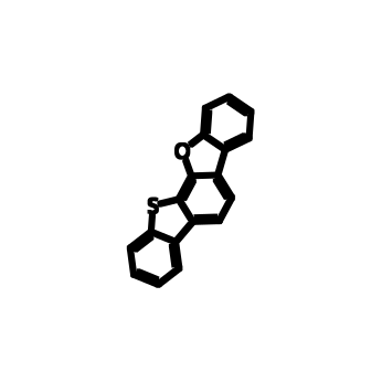 c1ccc2c(c1)oc1c2ccc2c3ccccc3sc21